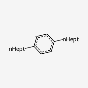 CCCCCCCc1[c]cc(CCCCCCC)[c]c1